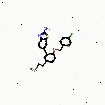 Nc1nc2ccc(-c3cc(CCC(=O)O)ccc3OCc3ccc(F)cc3)cc2s1